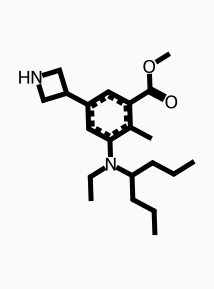 CCCC(CCC)N(CC)c1cc(C2CNC2)cc(C(=O)OC)c1C